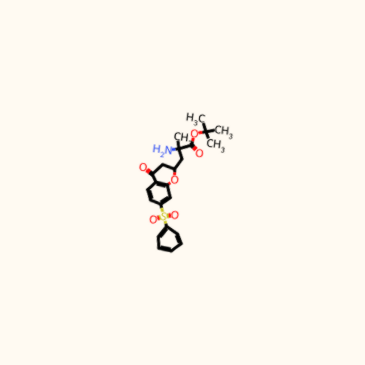 CC(C)(C)OC(=O)C(C)(N)CC1CC(=O)c2ccc(S(=O)(=O)c3ccccc3)cc2O1